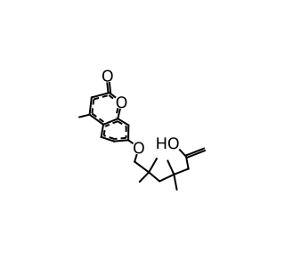 C=C(O)CC(C)(C)CC(C)(C)COc1ccc2c(C)cc(=O)oc2c1